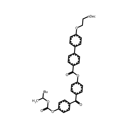 CCCCCCCCCCCCOc1ccc(-c2ccc(C(=O)Oc3ccc(C(=O)c4ccc(OC(=O)OC(C)C(C)CC)cc4)cc3)cc2)cc1